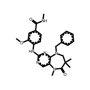 CNC(=O)c1ccc(Nc2ncc3c(n2)N(Cc2ccccc2)CC(C)(C)C(=O)N3C)c(OC)c1